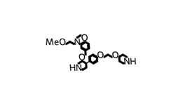 COCCCN1CCOc2ccc(CO[C@H]3CNCC[C@@H]3c3ccc(OCCCOC4CCNCC4)cc3)cc21